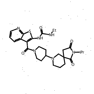 CCNC(=O)Nc1sc2ncccc2c1C(=O)N1CCC(N2CCCC3(CC(=O)N(C(C)C)C3=O)C2)CC1